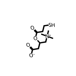 C[N+](C)(C)CC(CC(=O)[O-])OC(=O)CCS